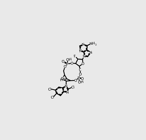 Nc1ncnc2c1ncn2C1OC2COP(=O)(O)OC3C(O)C(COP(=O)(O)OC2C1F)OC3n1c(Cl)nc2cc(Cl)c(Cl)cc21